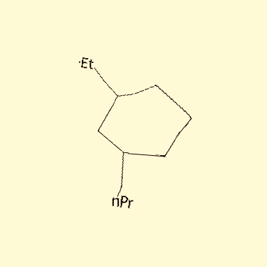 C[CH]C1CCCC(CCC)C1